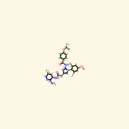 COc1cc(F)c(-n2cc(CC(=O)Nc3cc(F)cnc3N)nc2NC(=O)c2ccc(OC(F)F)cc2)c(F)c1